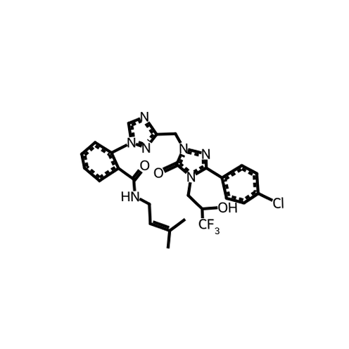 CC(C)=CCNC(=O)c1ccccc1-n1cnc(Cn2nc(-c3ccc(Cl)cc3)n(CC(O)C(F)(F)F)c2=O)n1